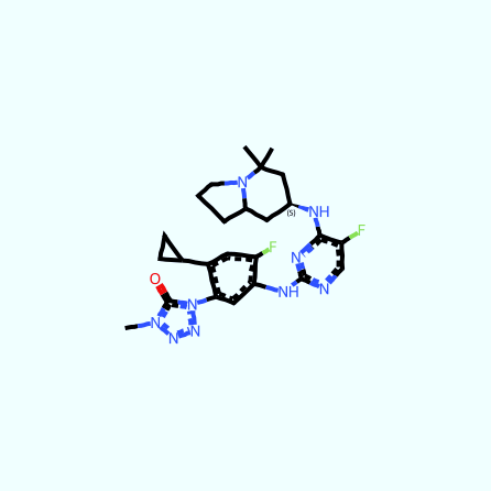 Cn1nnn(-c2cc(Nc3ncc(F)c(N[C@H]4CC5CCCN5C(C)(C)C4)n3)c(F)cc2C2CC2)c1=O